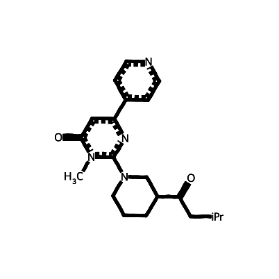 CC(C)CC(=O)C1CCCN(c2nc(-c3ccncc3)cc(=O)n2C)C1